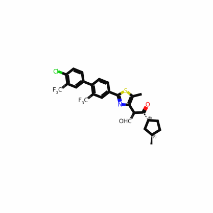 Cc1sc(-c2ccc(-c3ccc(Cl)c(C(F)(F)F)c3)c(C(F)(F)F)c2)nc1C(C=O)C(=O)[C@@H]1CC[C@@H](C)C1